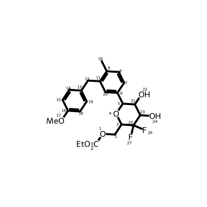 CCOC(=O)OCC1OC(c2ccc(C)c(Cc3ccc(OC)cc3)c2)C(O)C(O)C1(F)F